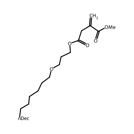 C=C(CC(=O)OCCCOCCCCCCCCCCCCCCCC)C(=O)OC